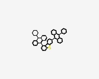 C1=CC2=C(c3cccc4sc5cc(-c6c7ccccc7c(-c7ccccc7)c7ccccc67)ccc5c34)c3ccccc3C(C3CCCCC3)C2C=C1